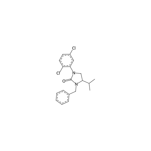 CC(C)C1CN(c2cc(Cl)ccc2Cl)C(=O)N1Cc1ccccc1